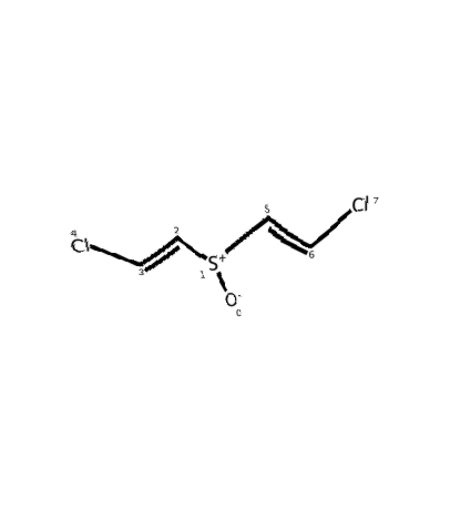 [O-][S+](C=CCl)C=CCl